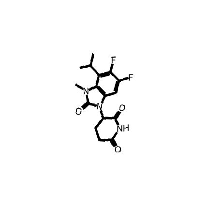 CC(C)c1c(F)c(F)cc2c1n(C)c(=O)n2C1CCC(=O)NC1=O